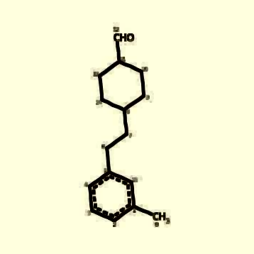 Cc1cccc(CCC2CCC(C=O)CC2)c1